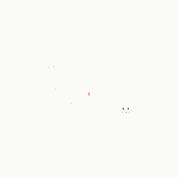 COCCOc1cccc(CC(C)C)c1